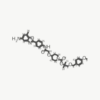 COc1ccc(COCC(C)(C)OC(=O)N2CCC(OCC(=O)Nc3ccc(-c4nc5cc(N)cc(C)c5o4)cc3)CC2)cc1